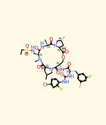 CCS(=O)(=O)NC[C@H]1C(=O)N[C@@H](C)C(=O)N2C[C@H](C)C[C@H]2C(=O)OC[C@H](NC(=O)[C@H](Cc2cc(F)cc(F)c2)NC(=O)Nc2ccc(Cl)cc2F)C(=O)N2CC(C)C[C@H]2C(=O)N1C